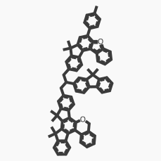 Cc1ccc(-c2cc3c(c4c2oc2ccccc24)-c2ccc(CC(Cc4ccc5c(c4)C(C)(C)c4c-5c5c(c6c4C(C)(C)c4ccccc4-6)-c4ccccc4CO5)c4ccc5c(c4)C(C)(C)c4ccccc4-5)cc2C3(C)C)cc1